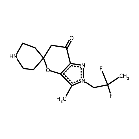 Cc1c2c(nn1CC(C)(F)F)C(=O)CC1(CCNCC1)O2